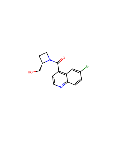 O=C(c1ccnc2ccc(Br)cc12)N1CC[C@@H]1CO